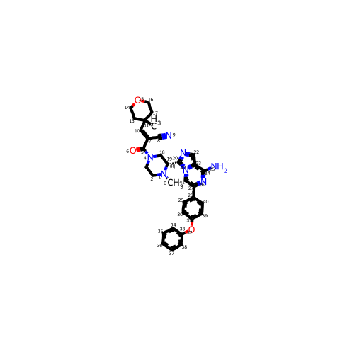 CN1CCN(C(=O)C(C#N)=CC2(C)CCOCC2)C[C@@H]1c1ncc2c(N)nc(-c3ccc(Oc4ccccc4)cc3)cn12